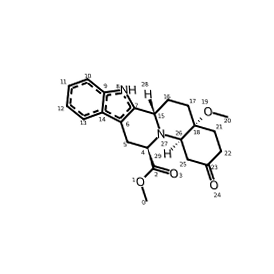 COC(=O)[C@H]1Cc2c([nH]c3ccccc23)[C@@H]2CC[C@@]3(OC)CCC(=O)C[C@H]3N12